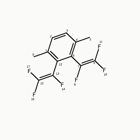 Cc1ccc(C)c(C(F)=C(F)F)c1C(F)=C(F)F